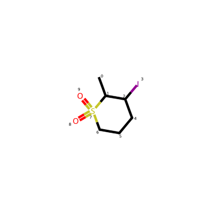 CC1C(I)CCCS1(=O)=O